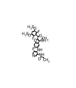 C=CC(=O)Nc1cncc(F)c1Nc1cc2c(NC)c(C(=O)c3c(F)c(OC)cc(OC)c3F)oc2cn1